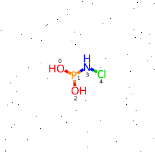 OP(O)NCl